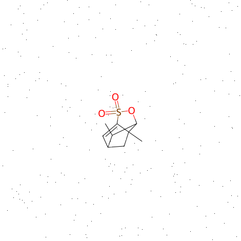 CC1C2C=C3C(C)(C2)C1OS3(=O)=O